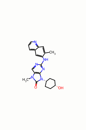 Cc1cc2ncccc2cc1Nc1ncc2c(n1)n([C@H]1CC[C@@H](O)CC1)c(=O)n2C